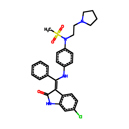 CS(=O)(=O)N(CCN1CCCC1)c1ccc(NC(=C2C(=O)Nc3cc(Cl)ccc32)c2ccccc2)cc1